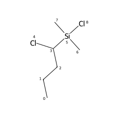 CCCC(Cl)[Si](C)(C)Cl